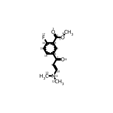 COC(=O)c1cc(C(=O)/C=C/N(C)C)ccc1F